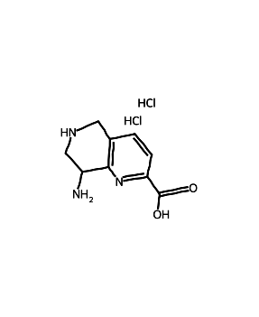 Cl.Cl.NC1CNCc2ccc(C(=O)O)nc21